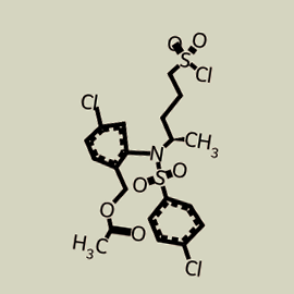 CC(=O)OCc1ccc(Cl)cc1N([C@H](C)CCCS(=O)(=O)Cl)S(=O)(=O)c1ccc(Cl)cc1